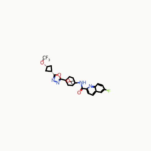 O=C(NC12CCC(c3nnc([C@H]4C[C@@H](OC(F)(F)F)C4)o3)(CC1)OC2)c1ccc2cc(F)ccc2n1